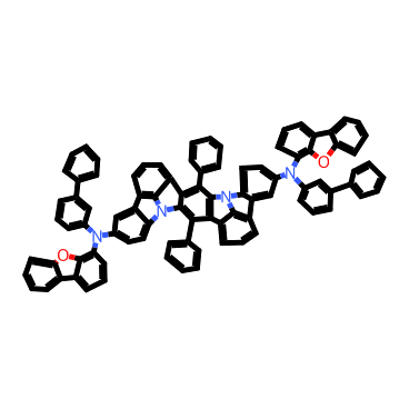 c1ccc(-c2cccc(N(c3ccc4c(c3)c3cccc5c6c(-c7ccccc7)c7c(c(-c8ccccc8)c6n4c35)c3cccc4c5cc(N(c6cccc(-c8ccccc8)c6)c6cccc8c6oc6ccccc68)ccc5n7c43)c3cccc4c3oc3ccccc34)c2)cc1